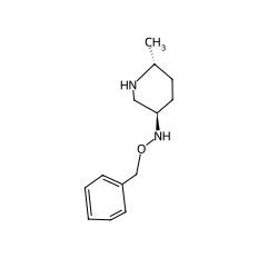 C[C@@H]1CC[C@@H](NOCc2ccccc2)CN1